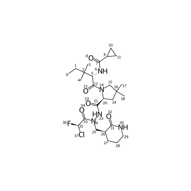 CCC(C)(C)[C@H](NC(=O)C1CC1)C(=O)N1CC(C)(C)C[C@H]1C(=O)NN(C[C@@H]1CCCNC1=O)C(=O)[C@H](F)Cl